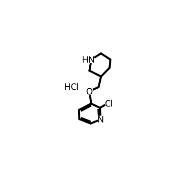 Cl.Clc1ncccc1OCC1CCCNC1